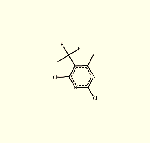 Cc1nc(Cl)nc(Cl)c1C(F)(F)F